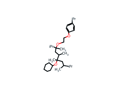 CC(C)c1ccc(OCCOC(C)(CC(C)C(C)(CC(C)C(C)C)OC2CCCCC2)C(C)C)cc1